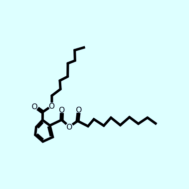 CCCCCCCCCC(=O)OC(=O)c1ccccc1C(=O)OCCCCCCCC